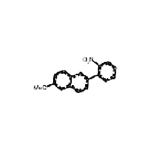 COc1ccc2cc(-c3ccccc3[N+](=O)[O-])ccc2c1